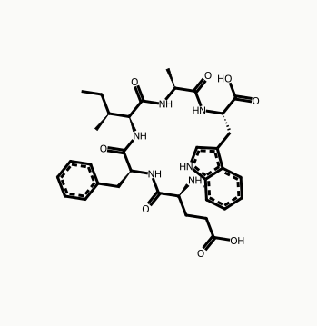 CC[C@H](C)[C@H](NC(=O)[C@H](Cc1ccccc1)NC(=O)[C@@H](N)CCC(=O)O)C(=O)N[C@@H](C)C(=O)N[C@@H](Cc1c[nH]c2ccccc12)C(=O)O